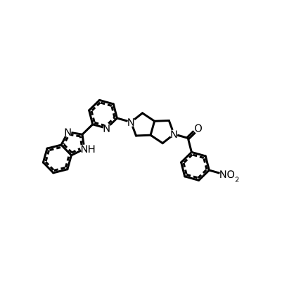 O=C(c1cccc([N+](=O)[O-])c1)N1CC2CN(c3cccc(-c4nc5ccccc5[nH]4)n3)CC2C1